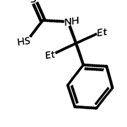 CCC(CC)(NC(=S)S)c1ccccc1